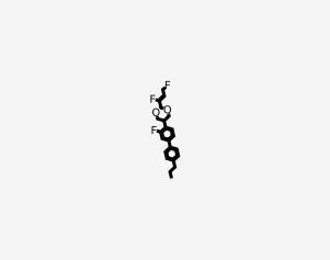 CCCc1ccc(-c2ccc(C3COC(/C(F)=C/CF)OC3)c(F)c2)cc1